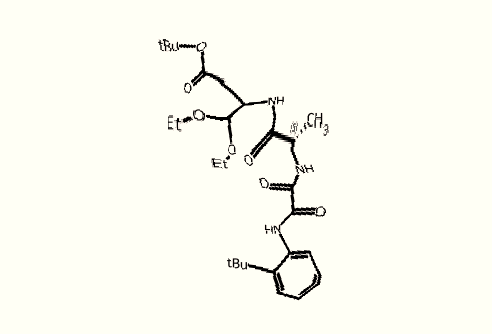 CCOC(OCC)C(CC(=O)OC(C)(C)C)NC(=O)[C@H](C)NC(=O)C(=O)Nc1ccccc1C(C)(C)C